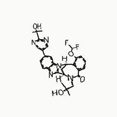 CC(C)(O)CN1C(=O)c2cccc(OC(F)F)c2[C@H]2C[C@@H]1c1nc3ccc(-c4cnc(C(C)(C)O)nc4)cc3n12